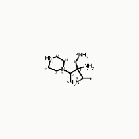 CC(N)C(N)(CN)C(C)N1CCNCC1